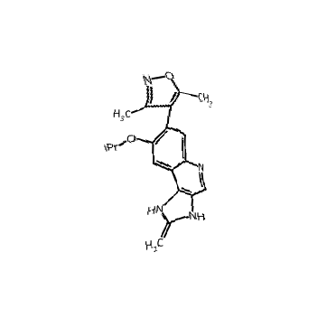 C=C1Nc2cnc3cc(-c4c(C)noc4C)c(OC(C)C)cc3c2N1